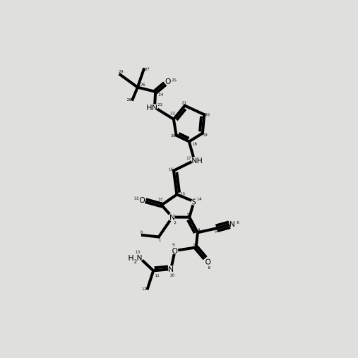 CCn1c(=C(C#N)C(=O)ON=C(C)N)sc(=CNc2cccc(NC(=O)C(C)(C)C)c2)c1=O